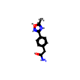 NC(=O)Cc1ccc(-c2noc(C(F)(F)F)n2)cc1